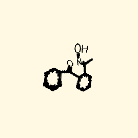 CC(=NO)c1ccccc1C(=O)c1ccccc1